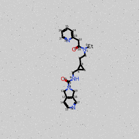 CCN(CCC1CC1CNC(=O)N1Cc2ccncc2C1)C(=O)Cc1ccccn1